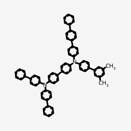 Cc1cc(C)cc(-c2ccc(N(c3ccc(-c4ccc(-c5ccccc5)cc4)cc3)c3ccc(-c4ccc(N(c5ccc(-c6ccccc6)cc5)c5ccc(-c6ccccc6)cc5)cc4)cc3)cc2)c1